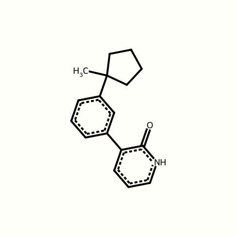 CC1(c2cccc(-c3ccc[nH]c3=O)c2)CCCC1